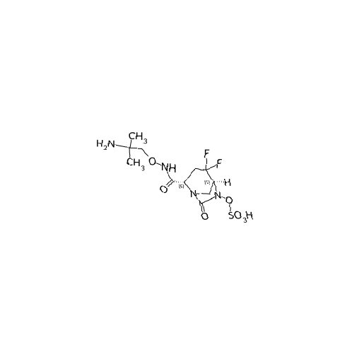 CC(C)(N)CONC(=O)[C@@H]1CC(F)(F)[C@@H]2CN1C(=O)N2OS(=O)(=O)O